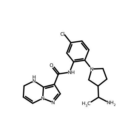 CC(N)C1CCN(c2ccc(Cl)cc2NC(=O)c2cnn3c2NCC=C3)C1